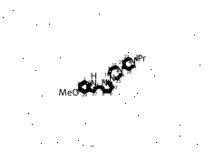 COc1ccc2[nH]c(-c3cccc(N4CCCN(C5CCN(C(C)C)CC5)CC4)n3)cc2c1